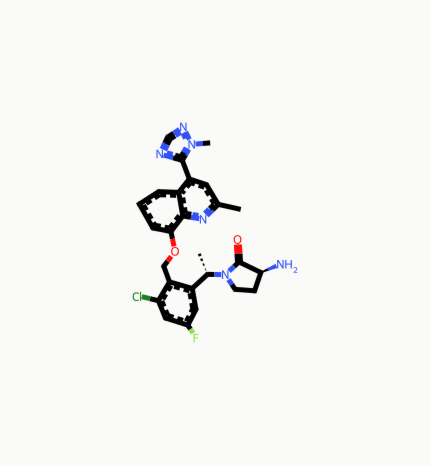 Cc1cc(-c2ncnn2C)c2cccc(OCc3c(Cl)cc(F)cc3[C@H](C)N3CC[C@H](N)C3=O)c2n1